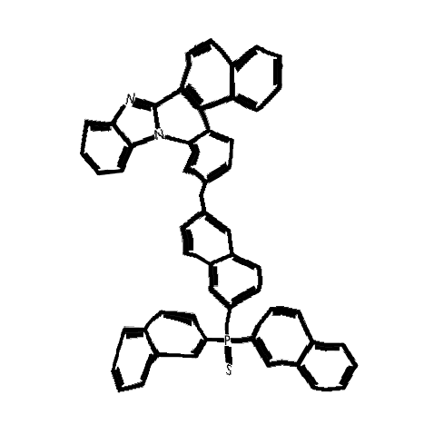 S=P(c1ccc2ccccc2c1)(c1ccc2ccccc2c1)c1ccc2cc(-c3ccc4c5c6ccccc6ccc5c5nc6ccccc6n5c4c3)ccc2c1